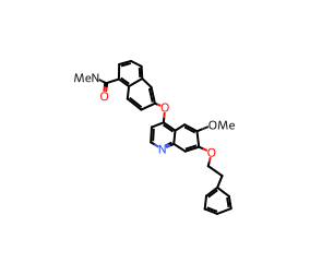 CNC(=O)c1cccc2cc(Oc3ccnc4cc(OCCc5ccccc5)c(OC)cc34)ccc12